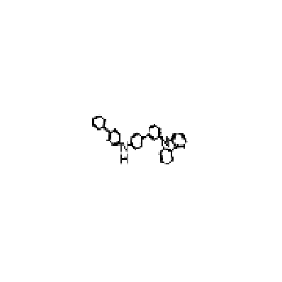 C1=Cc2c(c3ccccc3n2-c2cccc(-c3ccc(Nc4ccc(-c5ccccc5)cc4)cc3)c2)CC1